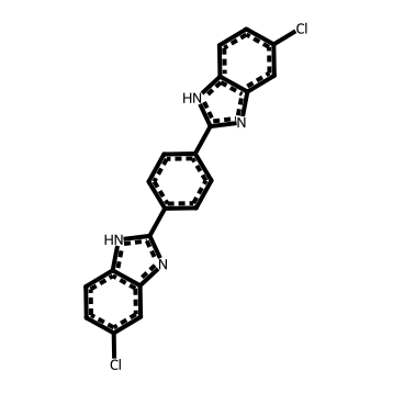 Clc1ccc2[nH]c(-c3ccc(-c4nc5cc(Cl)ccc5[nH]4)cc3)nc2c1